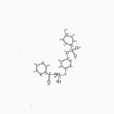 CCC(Cc1ccc(OS(=O)(=O)c2ccc(C)cc2)cc1)NC(=O)c1ccccc1